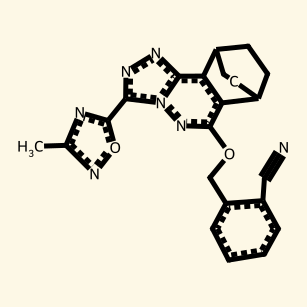 Cc1noc(-c2nnc3c4c(c(OCc5ccccc5C#N)nn23)C2CCC4CC2)n1